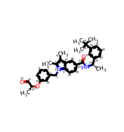 Cc1c(C)n(Cc2cccc(O[C@@H](C)C=O)c2)c2ccc(C(=O)N[C@@H](C)c3cccc(C(C)(C)C)c3)cc12